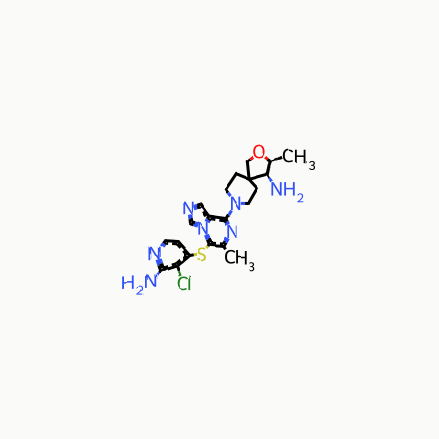 Cc1nc(N2CCC3(CC2)CO[C@@H](C)[C@H]3N)c2cncn2c1Sc1ccnc(N)c1Cl